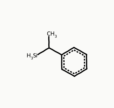 CC([SiH3])c1ccccc1